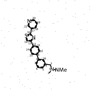 CNN(C)Cc1cccc(-c2ccc(-c3csc(-c4cccnc4)n3)cc2)c1